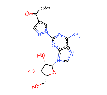 CNC(=O)c1cnn(-c2nc(N)c3ncn([C@@H]4O[C@H](CO)C(O)[C@@H]4O)c3n2)c1